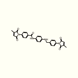 CC1=CC(=O)N(c2ccc(CNc3ccc(NC(=O)c4ccc(N5C(=O)C=C(C)C5=O)cc4)cc3)cc2)C1=O